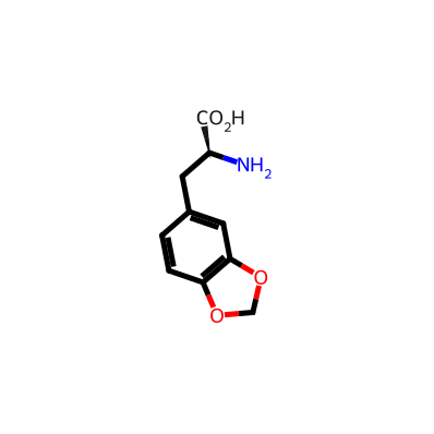 N[C@@H](Cc1ccc2c(c1)OCO2)C(=O)O